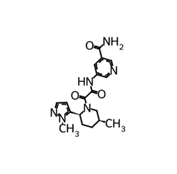 C[C@H]1CC[C@@H](c2ccnn2C)N(C(=O)C(=O)Nc2cncc(C(N)=O)c2)C1